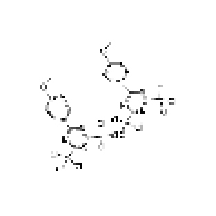 COc1ccc(-c2nc(C(Cl)(Cl)Cl)nc(C(Cl)(Cl)Cl)n2)cc1.COc1ccc(-c2nc(C(Cl)(Cl)Cl)nc(C(Cl)(Cl)Cl)n2)cc1